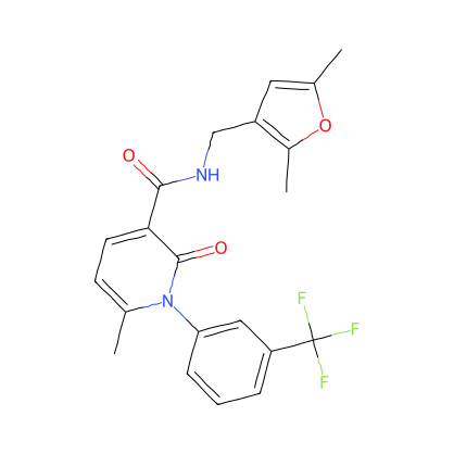 Cc1cc(CNC(=O)c2ccc(C)n(-c3cccc(C(F)(F)F)c3)c2=O)c(C)o1